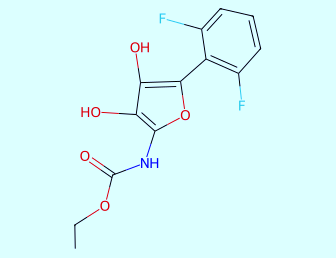 CCOC(=O)Nc1oc(-c2c(F)cccc2F)c(O)c1O